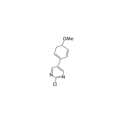 COC1C=CC(c2cnc(Cl)nc2)=CC1